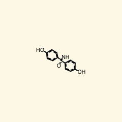 N=S(=O)(c1ccc(O)cc1)c1ccc(O)cc1